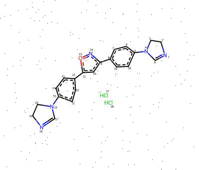 C1=NCCN1c1ccc(-c2cc(-c3ccc(N4C=NCC4)cc3)on2)cc1.Cl.Cl